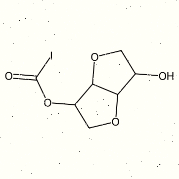 O=C(I)OC1COC2C(O)COC12